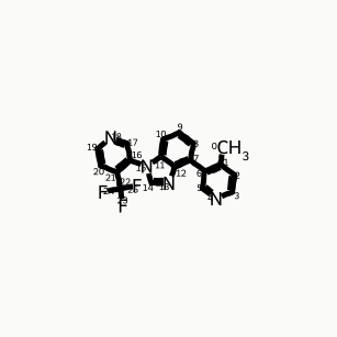 Cc1ccncc1-c1cccc2c1ncn2-c1cnccc1C(F)(F)F